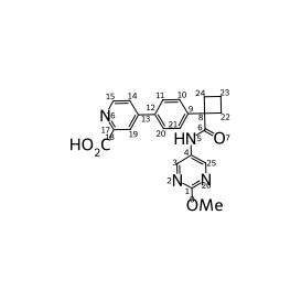 COc1ncc(NC(=O)C2(c3ccc(-c4ccnc(C(=O)O)c4)cc3)CCC2)cn1